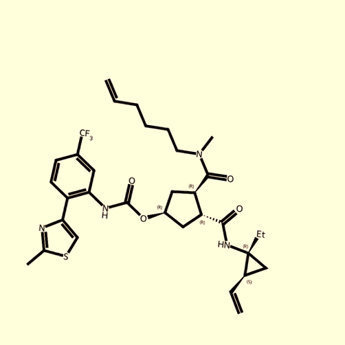 C=CCCCCN(C)C(=O)[C@@H]1C[C@H](OC(=O)Nc2cc(C(F)(F)F)ccc2-c2csc(C)n2)C[C@H]1C(=O)N[C@]1(CC)C[C@H]1C=C